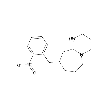 O=[N+]([O-])c1ccccc1CC1CCCN2CCCNC2C1